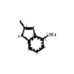 CC1=Cc2c(cccc2C(C)(C)C)C1